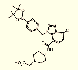 CC1(C)OB(c2ccc(Cn3ncc4c(Cl)ccc(C(=O)N[C@H]5CC[C@H](CC(=O)O)CC5)c43)cc2)OC1(C)C